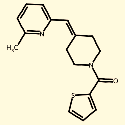 Cc1cccc(C=C2CCN(C(=O)c3cccs3)CC2)n1